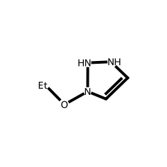 CCON1C=CNN1